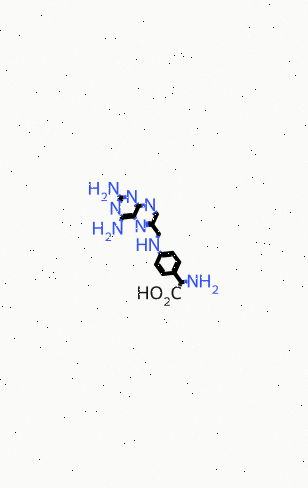 Nc1nc(N)c2nc(CNc3ccc(C(N)C(=O)O)cc3)cnc2n1